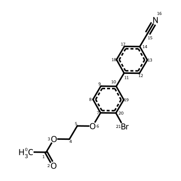 CC(=O)OCCOc1ccc(-c2ccc(C#N)cc2)cc1Br